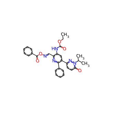 CCOC(=O)Nc1cc(-c2ccc(=O)n(C(C)C)n2)c(-c2ccccc2)nc1C=NOC(=O)c1ccccc1